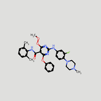 COOc1nc(Nc2ccc(N3CCN(C)CC3)c(F)c2)nc(Oc2ccccc2)c1C(=O)Nc1c(C)cccc1C